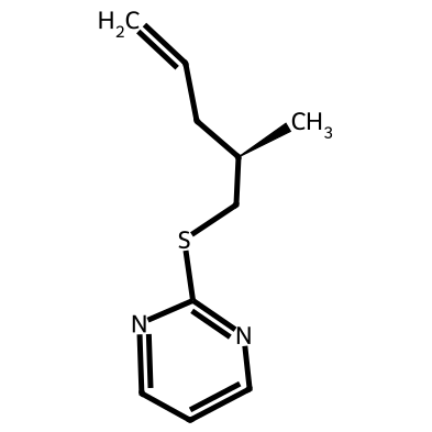 C=CC[C@@H](C)CSc1ncccn1